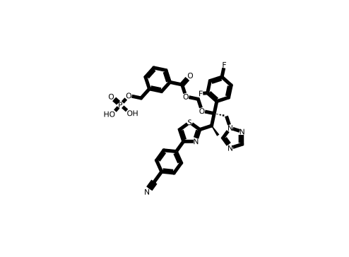 C[C@@H](c1nc(-c2ccc(C#N)cc2)cs1)[C@@](Cn1cncn1)(OCOC(=O)c1cccc(COP(=O)(O)O)c1)c1ccc(F)cc1F